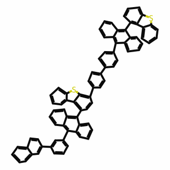 c1cc(-c2ccc3ccccc3c2)cc(-c2c3ccccc3c(-c3ccc(-c4ccc(-c5ccc(-c6c7ccccc7c(-c7cccc8sc9ccccc9c78)c7ccccc67)cc5)cc4)c4sc5ccccc5c34)c3ccccc23)c1